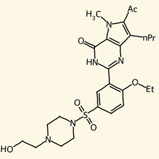 CCCc1c(C(C)=O)n(C)c2c(=O)[nH]c(-c3cc(S(=O)(=O)N4CCN(CCO)CC4)ccc3OCC)nc12